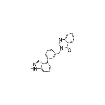 O=c1c2ccccc2ncn1Cc1cccc(-c2cccc3[nH]ncc23)c1